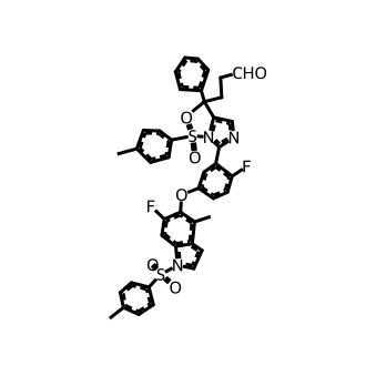 Cc1ccc(S(=O)(=O)n2c(C(C)(CCC=O)c3ccccc3)cnc2-c2cc(Oc3c(F)cc4c(ccn4S(=O)(=O)c4ccc(C)cc4)c3C)ccc2F)cc1